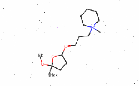 CCCCCCC1(OCC)CCC(OCCC[N+]2(C)CCCCC2)O1.[I-]